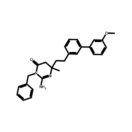 COc1cccc(-c2cccc(CCC3(C)CC(=O)N(Cc4ccccc4)C(N)=N3)c2)c1